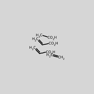 C=C.C=CC(=O)O.C=CC(=O)O.CC(=O)O